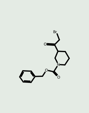 O=C(CBr)C1CCCN(C(=O)OCc2ccccc2)C1